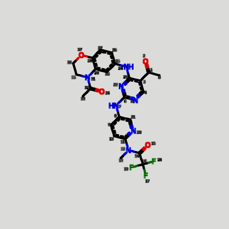 CC(=O)c1cnc(Nc2ccc(N(C)C(=O)C(F)(F)F)nc2)nc1Nc1ccc2c(c1)N(C(C)=O)CCO2